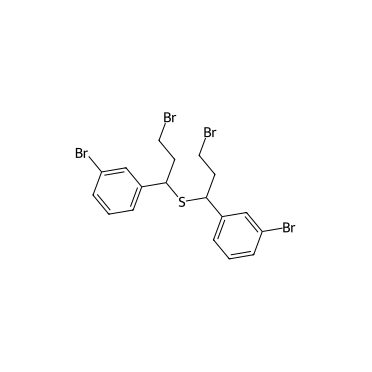 BrCCC(SC(CCBr)c1cccc(Br)c1)c1cccc(Br)c1